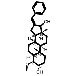 CO[C@H]1[C@H]2CC[C@H]3[C@@H](CC[C@@]4(C)C(O)C(=Cc5ccccc5)C[C@H]34)[C@]2(C)CC[C@@H]1O